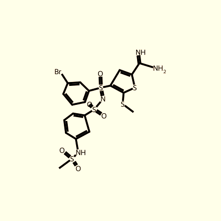 CSc1sc(C(=N)N)cc1S(=O)(=NS(=O)(=O)c1cccc(NS(C)(=O)=O)c1)c1cccc(Br)c1